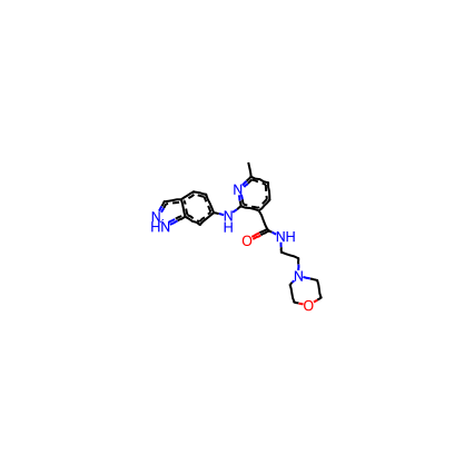 Cc1ccc(C(=O)NCCN2CCOCC2)c(Nc2ccc3cn[nH]c3c2)n1